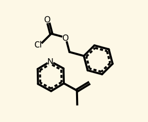 C=C(C)c1cccnc1.O=C(Cl)OCc1ccccc1